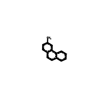 Cc1ccc2ccc3cc[c]cc3c2c1